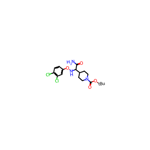 CC(C)(C)OC(=O)N1CCC(C(NOc2ccc(Cl)c(Cl)c2)C(N)=O)CC1